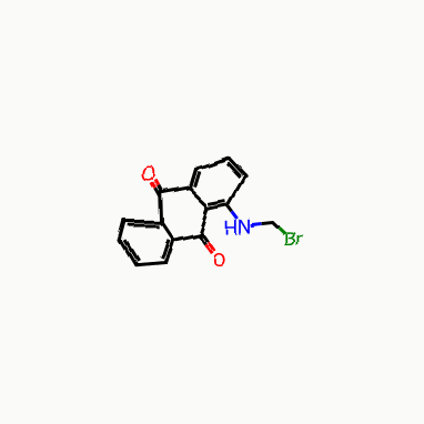 O=C1c2ccccc2C(=O)c2c(NCBr)cccc21